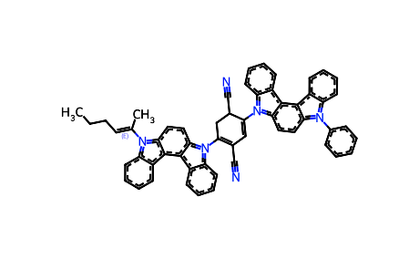 CCC/C=C(\C)n1c2ccccc2c2c3c4ccccc4n(C4=C(C#N)C=C(n5c6ccccc6c6c7c8ccccc8n(-c8ccccc8)c7ccc65)C(C#N)C4)c3ccc21